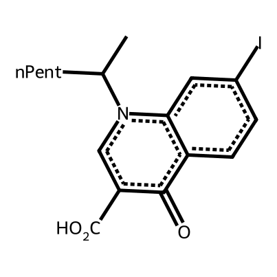 CCCCCC(C)n1cc(C(=O)O)c(=O)c2ccc(I)cc21